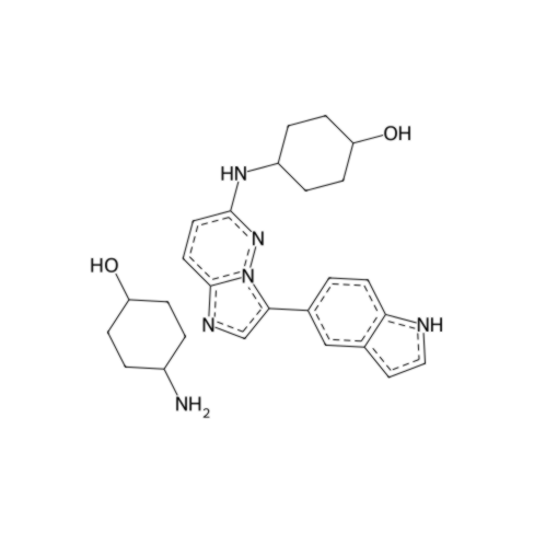 NC1CCC(O)CC1.OC1CCC(Nc2ccc3ncc(-c4ccc5[nH]ccc5c4)n3n2)CC1